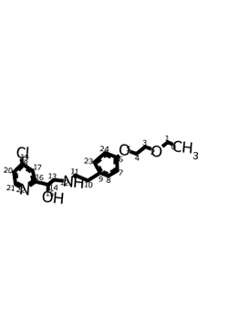 CCOCCOc1ccc(CCNCC(O)c2cc(Cl)ccn2)cc1